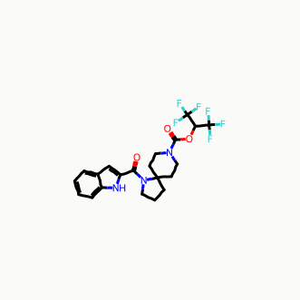 O=C(OC(C(F)(F)F)C(F)(F)F)N1CCC2(CCCN2C(=O)c2cc3ccccc3[nH]2)CC1